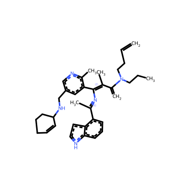 C=CCCN(CCC)C(=C)/C(C)=C(\N=C(/C)c1cccc2[nH]ccc12)c1cc(CNC2C=CCCC2)cnc1C